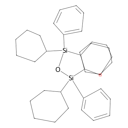 c1ccc([Si](O[Si](c2ccccc2)(C2CCCCC2)C2CCCCC2)(C2CCCCC2)C2CCCCC2)cc1